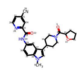 Cn1cc(C2CCN(C(=O)C3CCCO3)CC2)c2cc(NC(=O)c3cc(C#N)ccn3)ccc21